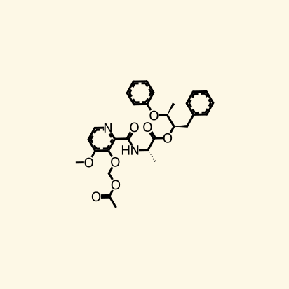 COc1ccnc(C(=O)N[C@@H](C)C(=O)O[C@H](Cc2ccccc2)[C@H](C)Oc2ccccc2)c1OCOC(C)=O